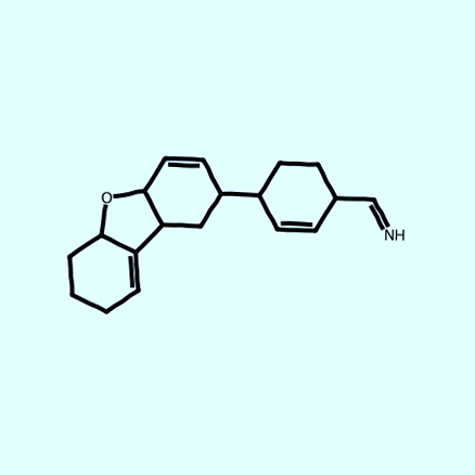 N=CC1C=CC(C2C=CC3OC4CCCC=C4C3C2)CC1